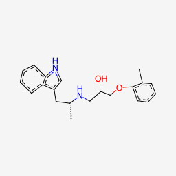 Cc1ccccc1OC[C@@H](O)CN[C@H](C)Cc1c[nH]c2ccccc12